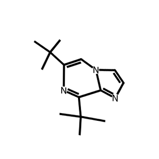 CC(C)(C)c1cn2ccnc2c(C(C)(C)C)n1